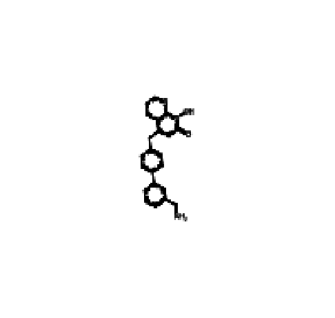 NCc1cccc(-c2ccc(Cc3cc(=O)n(O)c4ncccc34)cc2)c1